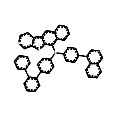 c1ccc(-c2ccccc2-c2ccc(N(c3ccc(-c4cccc5ccccc45)cc3)c3c4ccccc4cc4c3oc3cnccc34)cc2)cc1